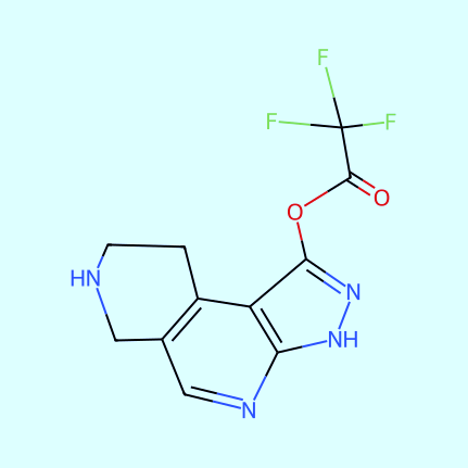 O=C(Oc1n[nH]c2ncc3c(c12)CCNC3)C(F)(F)F